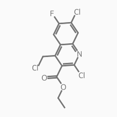 CCOC(=O)c1c(Cl)nc2cc(Cl)c(F)cc2c1CCl